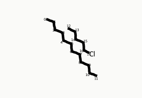 CCCCCCCCCCCC.CCCCCCl